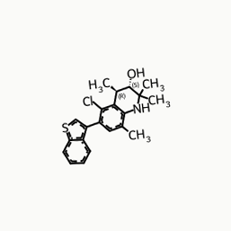 Cc1cc(-c2csc3ccccc23)c(Cl)c2c1NC(C)(C)[C@@H](O)[C@@H]2C